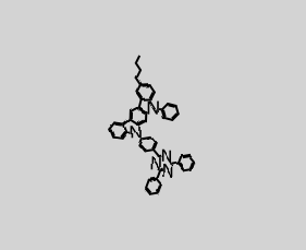 CCCCc1ccc2c(c1)c1cc3c4ccccc4n(-c4ccc(-c5nc(-c6ccccc6)nc(-c6ccccc6)n5)cc4)c3cc1n2-c1ccccc1